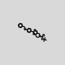 CC(C)(C)OC(=O)N1CCc2nc(-c3ccc(OCc4ccccc4)cc3)ncc2C1